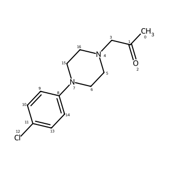 CC(=O)CN1CCN(c2ccc(Cl)cc2)CC1